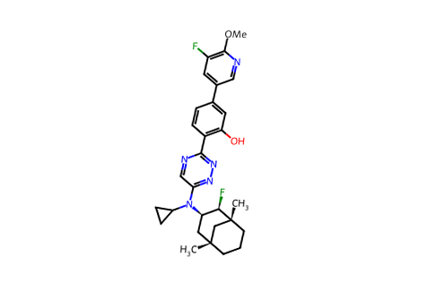 COc1ncc(-c2ccc(-c3ncc(N(C4CC4)[C@@H]4C[C@@]5(C)CCC[C@](C)(C5)[C@@H]4F)nn3)c(O)c2)cc1F